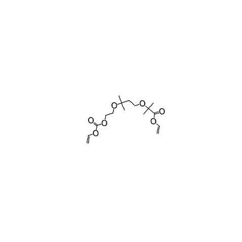 C=COC(=O)OCCOC(C)(C)CCOC(C)(C)C(=O)OC=C